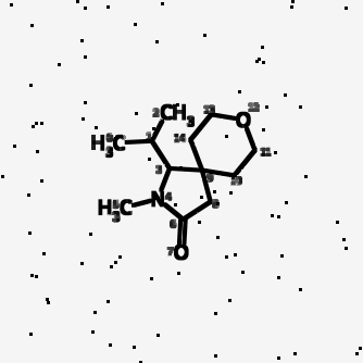 CC(C)C1N(C)C(=O)CC12CCOCC2